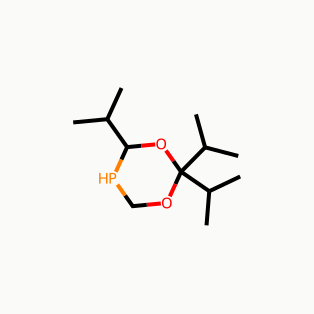 CC(C)C1OC(C(C)C)(C(C)C)OCP1